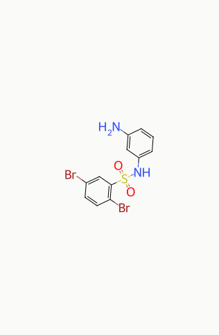 Nc1cccc(NS(=O)(=O)c2cc(Br)ccc2Br)c1